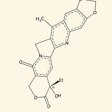 CC[C@@]1(O)C(=O)OCc2c1cc1n(c2=O)Cc2c-1nc1cc3c(cc1c2C)OCO3